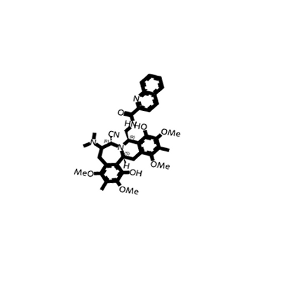 COc1c(C)c(OC)c2c(c1O)[C@H](CNC(=O)c1ccc3ccccc3n1)N1[C@@H](C2)c2c(O)c(OC)c(C)c(OC)c2CC(N(C)C)[C@@H]1C#N